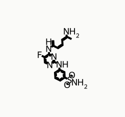 C=C(/C=C\C=C(/C)N)Nc1nc(Nc2cccc(S(N)(=O)=O)c2)ncc1F